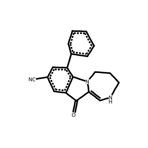 N#Cc1cc2c(c(-c3ccccc3)c1)N1CCCNC=C1C2=O